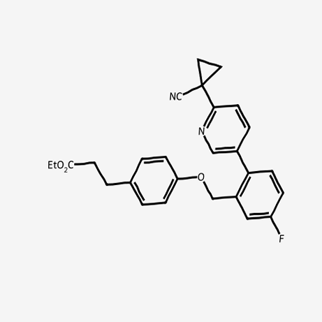 CCOC(=O)CCc1ccc(OCc2cc(F)ccc2-c2ccc(C3(C#N)CC3)nc2)cc1